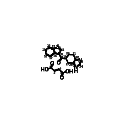 O=C(O)C=CC(=O)O.O=C(c1csc2ccccc12)C1CCc2nc[nH]c2C1